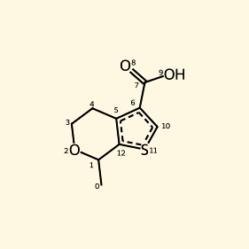 CC1OCCc2c(C(=O)O)csc21